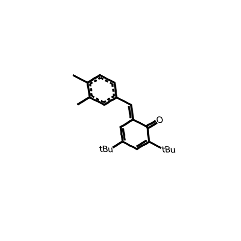 Cc1ccc(C=C2C=C(C(C)(C)C)C=C(C(C)(C)C)C2=O)cc1C